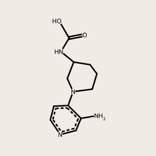 Nc1cnccc1N1CCCC(NC(=O)O)C1